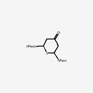 CCCCCC1CC(=O)CC(CCCCC)S1